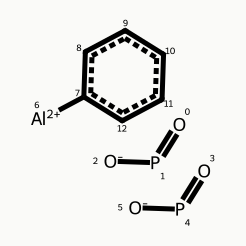 O=P[O-].O=P[O-].[Al+2][c]1ccccc1